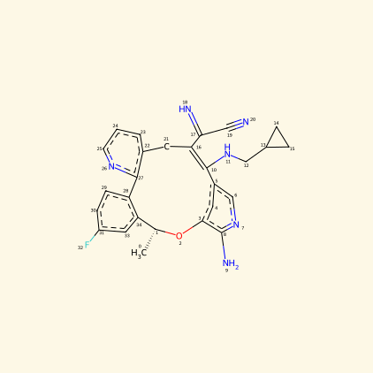 C[C@H]1Oc2cc(cnc2N)/C(NCC2CC2)=C(/C(=N)C#N)Cc2cccnc2-c2ccc(F)cc21